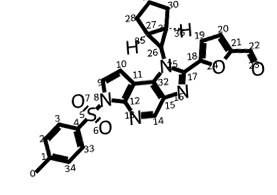 Cc1ccc(S(=O)(=O)n2ccc3c2ncc2nc(-c4ccc(C=O)o4)n(C4[C@H]5CCC[C@@H]45)c23)cc1